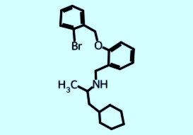 CC(CC1CCCCC1)NCc1ccccc1OCc1ccccc1Br